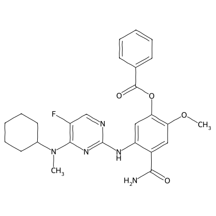 COc1cc(C(N)=O)c(Nc2ncc(F)c(N(C)C3CCCCC3)n2)cc1OC(=O)c1ccccc1